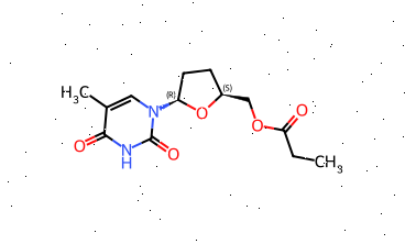 CCC(=O)OC[C@@H]1CC[C@H](n2cc(C)c(=O)[nH]c2=O)O1